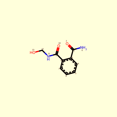 NC(=O)c1ccccc1C(=O)NCO